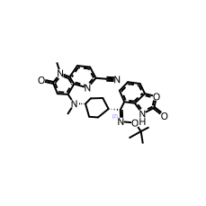 Cn1c(=O)cc(N(C)[C@H]2CC[C@@H](/C(=N/OC(C)(C)C)c3cccc4oc(=O)[nH]c34)CC2)c2nc(C#N)ccc21